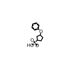 O=S(=O)(O)C1CCC(Oc2ccccc2)C1